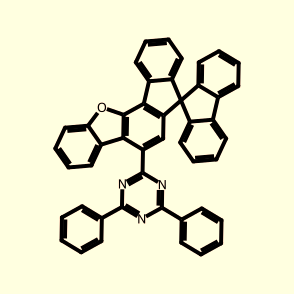 c1ccc(-c2nc(-c3ccccc3)nc(-c3cc4c(c5oc6ccccc6c35)-c3ccccc3C43c4ccccc4-c4ccccc43)n2)cc1